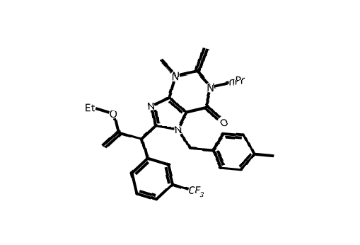 C=C(OCC)C(c1cccc(C(F)(F)F)c1)c1nc2c(n1Cc1ccc(C)cc1)C(=O)N(CCC)C(=C)N2C